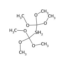 COC(OC)(OC)[SiH2]C(OC)(OC)OC